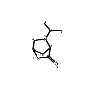 CC(C)N1CC2CC1C(=O)N2